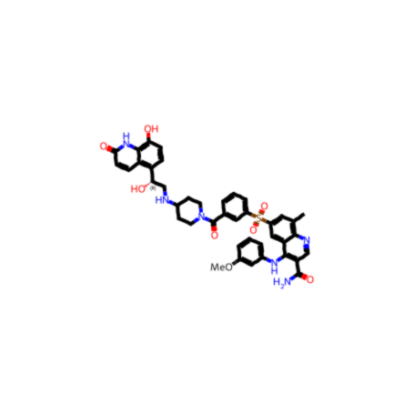 COc1cccc(Nc2c(C(N)=O)cnc3c(C)cc(S(=O)(=O)c4cccc(C(=O)N5CCC(NC[C@H](O)c6ccc(O)c7[nH]c(=O)ccc67)CC5)c4)cc23)c1